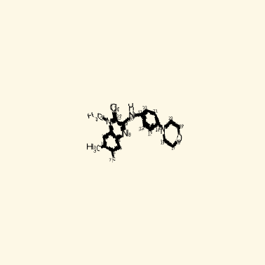 Cc1cc2c(cc1F)nc(Nc1ccc(N3CCOCC3)cc1)c(=O)n2C